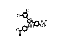 C#CC(=O)c1ccc(Nc2cc(-c3cc(Cl)cc(Cl)c3)nn2-c2ccc(OC(F)(F)F)cc2)cc1